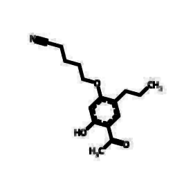 CCCc1cc(C(C)=O)c(O)cc1OCCCCC#N